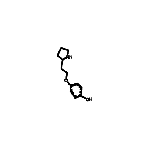 Oc1ccc(OCCC2CCCN2)cc1